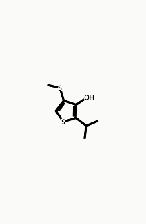 CSc1csc(C(C)C)c1O